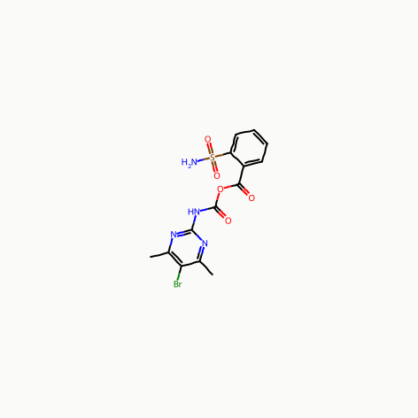 Cc1nc(NC(=O)OC(=O)c2ccccc2S(N)(=O)=O)nc(C)c1Br